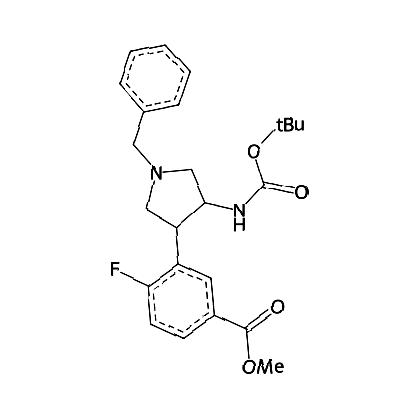 COC(=O)c1ccc(F)c(C2CN(Cc3ccccc3)CC2NC(=O)OC(C)(C)C)c1